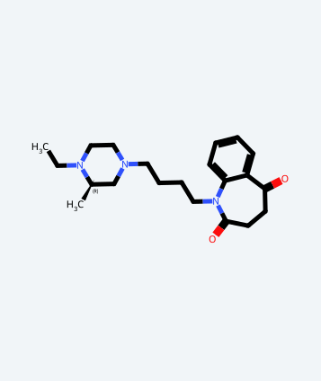 CCN1CCN(CCCCN2C(=O)CCC(=O)c3ccccc32)C[C@H]1C